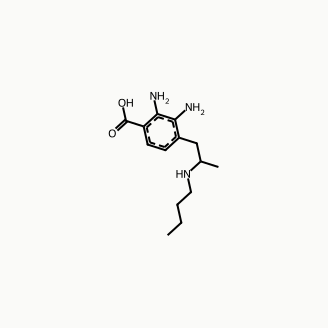 CCCCNC(C)Cc1ccc(C(=O)O)c(N)c1N